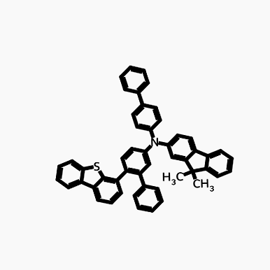 CC1(C)c2ccccc2-c2ccc(N(c3ccc(-c4ccccc4)cc3)c3ccc(-c4cccc5c4sc4ccccc45)c(-c4ccccc4)c3)cc21